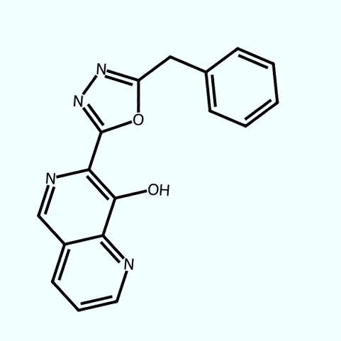 Oc1c(-c2nnc(Cc3ccccc3)o2)ncc2cccnc12